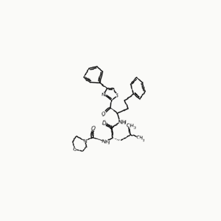 CC(C)C[C@H](NC(=O)N1CCOCC1)C(=O)NC(CCc1ccccc1)C(=O)c1nc(-c2ccccc2)cs1